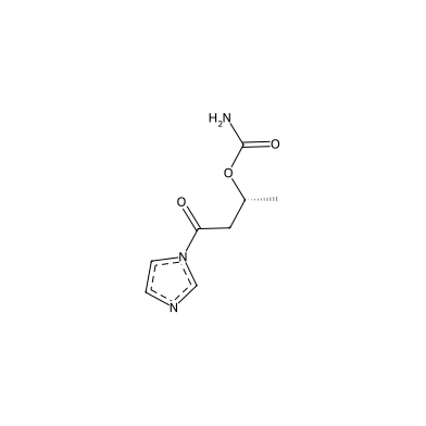 C[C@H](CC(=O)n1ccnc1)OC(N)=O